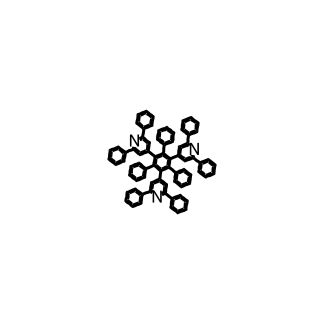 c1ccc(-c2cc(-c3c(-c4ccccc4)c(-c4cc(-c5ccccc5)nc(-c5ccccc5)c4)c(-c4ccccc4)c(-c4cc(-c5ccccc5)nc(-c5ccccc5)c4)c3-c3ccccc3)cc(-c3ccccc3)n2)cc1